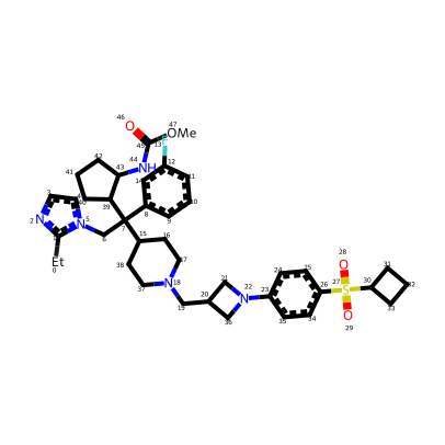 CCc1nccn1CC(c1cccc(F)c1)(C1CCN(CC2CN(c3ccc(S(=O)(=O)C4CCC4)cc3)C2)CC1)C1CCCC1NC(=O)OC